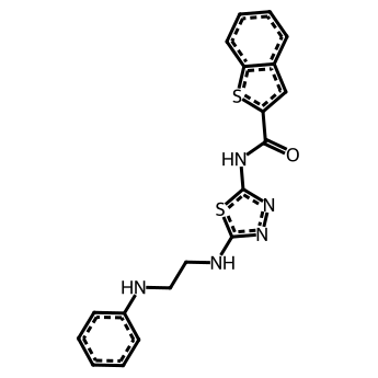 O=C(Nc1nnc(NCCNc2ccccc2)s1)c1cc2ccccc2s1